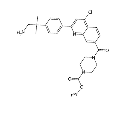 CCCOC(=O)N1CCN(C(=O)c2ccc3c(Cl)cc(-c4ccc(C(C)(C)CN)cc4)nc3c2)CC1